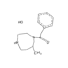 CC1CNCCN1C(=O)c1ccccc1.Cl